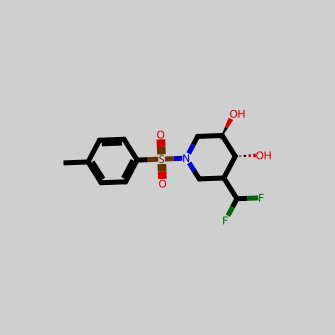 Cc1ccc(S(=O)(=O)N2CC(C(F)F)[C@@H](O)[C@H](O)C2)cc1